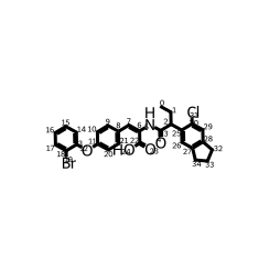 CCC(C(=O)NC(=Cc1ccc(Oc2ccccc2Br)cc1)C(=O)O)c1cc2c(cc1Cl)CCC2